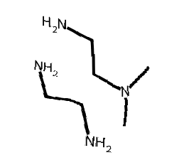 CN(C)CCN.NCCN